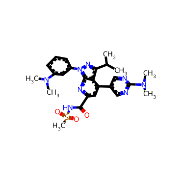 CC(C)c1nn(-c2cccc(N(C)C)c2)c2nc(C(=O)NS(C)(=O)=O)cc(-c3cnc(N(C)C)nc3)c12